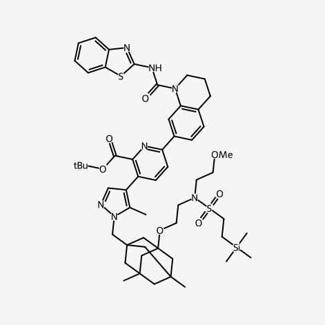 COCCN(CCOC12CC3(C)CC(C)(CC(Cn4ncc(-c5ccc(-c6ccc7c(c6)N(C(=O)Nc6nc8ccccc8s6)CCC7)nc5C(=O)OC(C)(C)C)c4C)(C3)C1)C2)S(=O)(=O)CC[Si](C)(C)C